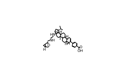 CC(C)[C@@H]1CC[C@]2(NCCNC[C@H]3OC[C@@H]4CC43)CC[C@]3(C)[C@H](CC[C@@H]4[C@@]5(C)CC=C(c6ccc(C(=O)O)cc6)C(C)(C)[C@@H]5CC[C@]43C)[C@@H]12